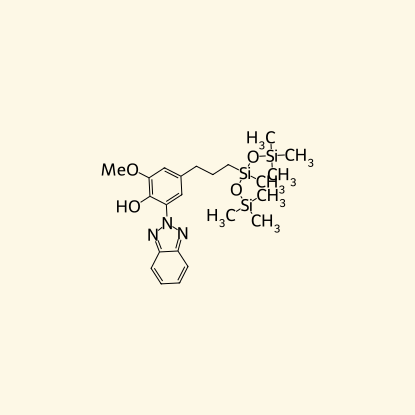 COc1cc(CCC[Si](C)(O[Si](C)(C)C)O[Si](C)(C)C)cc(-n2nc3ccccc3n2)c1O